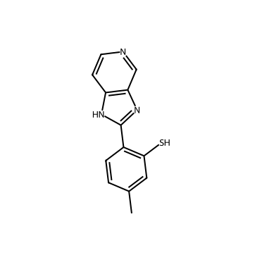 Cc1ccc(-c2nc3cnccc3[nH]2)c(S)c1